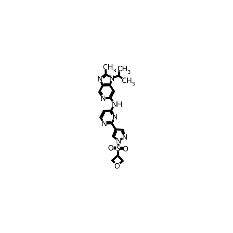 Cc1nc2cnc(Nc3ccnc(-c4cnn(S(=O)(=O)C5COC5)c4)n3)cc2n1C(C)C